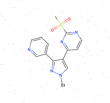 CCn1cc(-c2ccnc(S(C)(=O)=O)n2)c(-c2cccnc2)n1